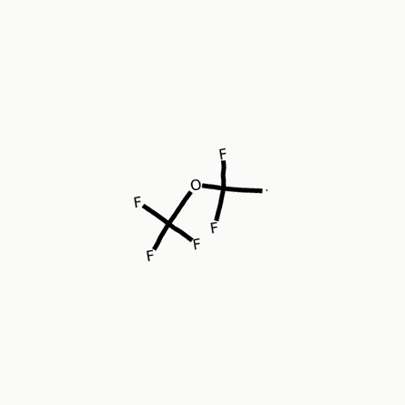 [CH2]C(F)(F)OC(F)(F)F